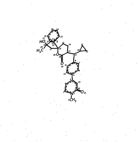 Cn1ccc(-c2ccc(C(C3CC3)C3CCC(CC(C)(C)O)(c4ccccc4)OC3=O)cc2)cc1=O